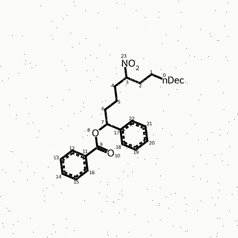 CCCCCCCCCCCCC(CCCC(OC(=O)c1ccccc1)c1ccccc1)[N+](=O)[O-]